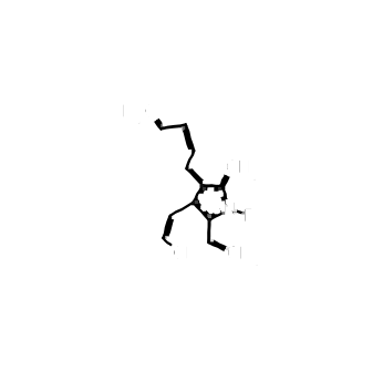 C=C/C=C\C=c1\c(/C=C\C)c(C=C)n(F)c1=C